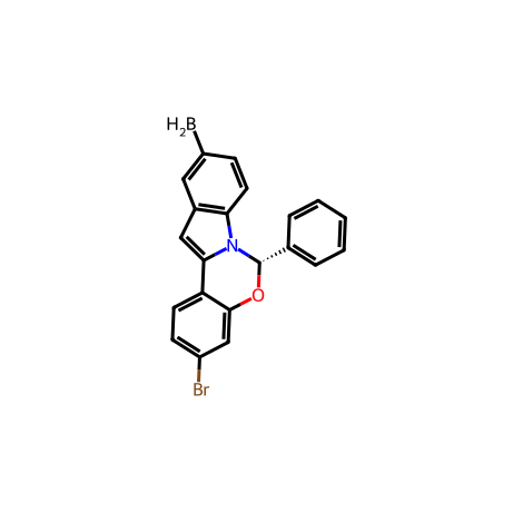 Bc1ccc2c(c1)cc1n2[C@H](c2ccccc2)Oc2cc(Br)ccc2-1